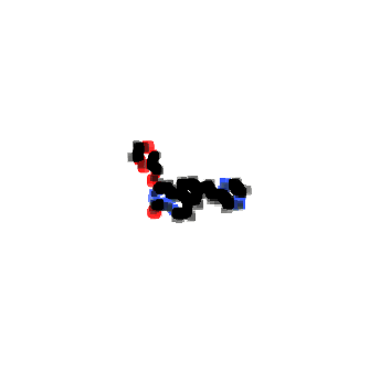 O=c1nc(OCC2COCCO2)cc2n1CCc1cc(C=Cc3cnccn3)ccc1-2